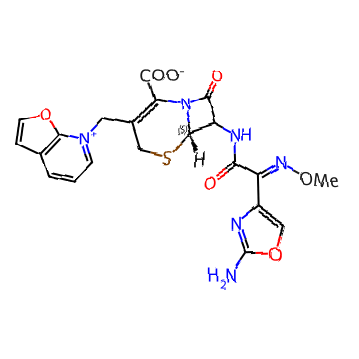 CON=C(C(=O)NC1C(=O)N2C(C(=O)[O-])=C(C[n+]3cccc4ccoc43)CS[C@@H]12)c1coc(N)n1